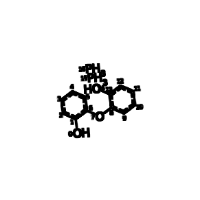 Oc1ccccc1Oc1ccccc1O.P.P